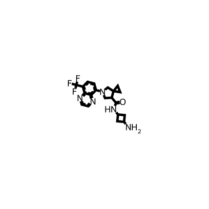 NC1CC(NC(=O)C2CN(c3ccc(C(F)(F)F)c4nccnc34)CC23CC3)C1